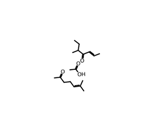 CC(=O)CCC=C(C)C.CC(=O)O.CC=CC(=O)C(C)CC